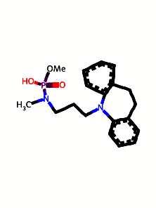 COP(=O)(O)N(C)CCCN1c2ccccc2CCc2ccccc21